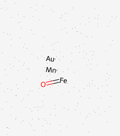 [Au].[Mn].[O]=[Fe]